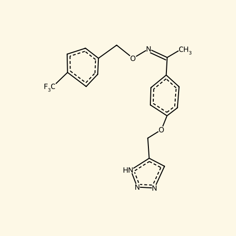 CC(=NOCc1ccc(C(F)(F)F)cc1)c1ccc(OCc2cnn[nH]2)cc1